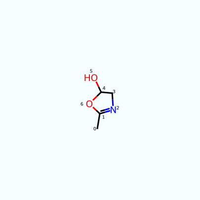 CC1=NCC(O)O1